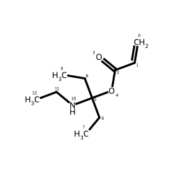 C=CC(=O)OC(CC)(CC)NCC